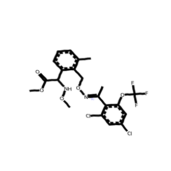 CONC(C(=O)OC)c1cccc(C)c1CO/N=C(\C)c1c(Cl)cc(Cl)cc1OC(F)(F)F